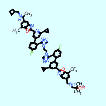 Cc1cc(C(C)NCC2CCC2)cc2nc(-c3cc(-c4ccc(F)cc4-c4nncn4CCn4cnnc4-c4cc(F)ccc4-c4cc(-c5nc6cc(CNCC(C)(C)O)cc(C(F)(F)F)c6o5)cc(C5CC5)c4)cc(C4CC4)n3)oc12